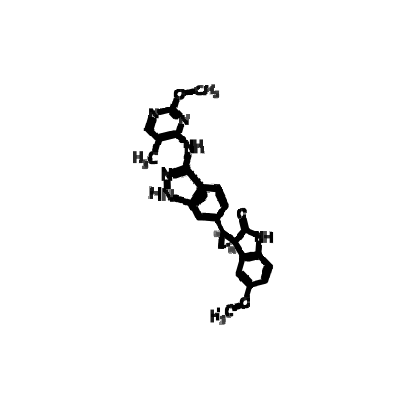 COc1ccc2c(c1)[C@]1(C[C@H]1c1ccc3c(Nc4nc(OC)ncc4C)n[nH]c3c1)C(=O)N2